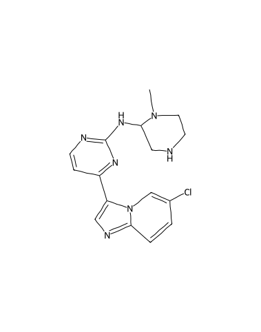 CN1CCNCC1Nc1nccc(-c2cnc3ccc(Cl)cn23)n1